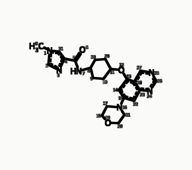 Cn1cnc(C(=O)NC2CCC(Oc3cc(N4CCOCC4)cc4ncncc34)CC2)c1